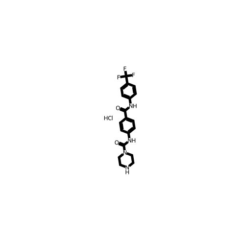 Cl.O=C(Nc1ccc(C(F)(F)F)cc1)c1ccc(NC(=O)N2CCNCC2)cc1